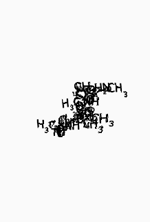 CNC=CCS(=O)(=O)c1cc(C)cc(C)c1NC(=O)c1sc(C)c(C)c1S(=O)(=O)CC=CNc1onc(C)c1Cl